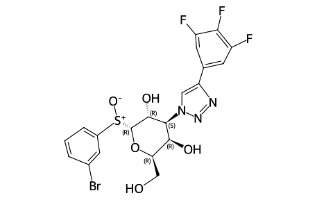 [O-][S+](c1cccc(Br)c1)[C@H]1O[C@H](CO)[C@H](O)[C@H](n2cc(-c3cc(F)c(F)c(F)c3)nn2)[C@H]1O